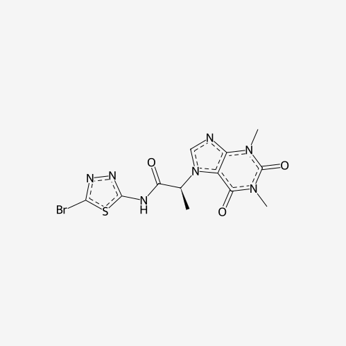 C[C@@H](C(=O)Nc1nnc(Br)s1)n1cnc2c1c(=O)n(C)c(=O)n2C